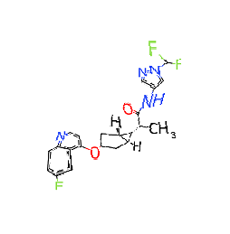 CC(C(=O)Nc1cnn(C(F)F)c1)[C@@H]1[C@@H]2C[C@@H](Oc3ccnc4ccc(F)cc34)C[C@@H]21